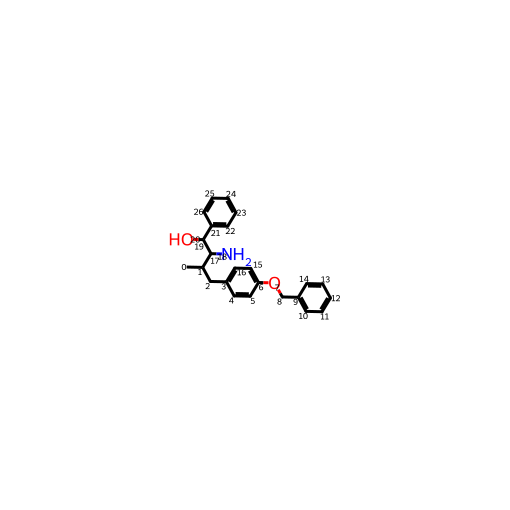 CC(Cc1ccc(OCc2ccccc2)cc1)C(N)C(O)c1ccccc1